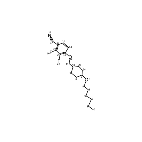 CCCCCCOC1CCC(COc2ccc(C#N)c(F)c2F)CC1